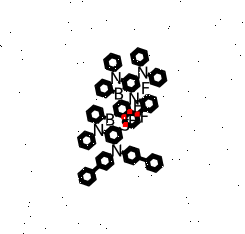 Fc1cccc(-c2ccccc2)c1N1c2cc(N(c3ccccc3)c3ccccc3)cc3c2B(c2ccccc2N3c2ccccc2)c2cc3c(c(C(F)(F)F)c21)Sc1cc(N(c2ccc(-c4ccccc4)cc2)c2ccc(-c4ccccc4)cc2)cc2c1B3c1ccccc1N2c1ccccc1